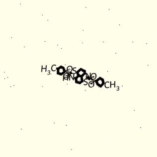 Cc1ccc(S(=O)(=O)C2=Nc3ccc4c5c(ccc(c35)S2)NC(S(=O)(=O)c2ccc(C)cc2)S4)cc1